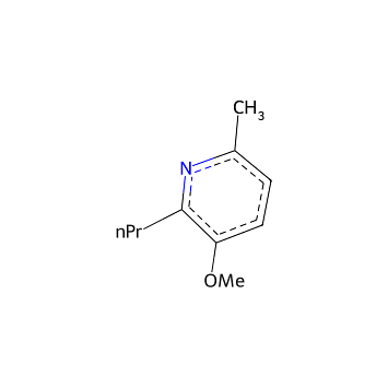 CCCc1nc(C)ccc1OC